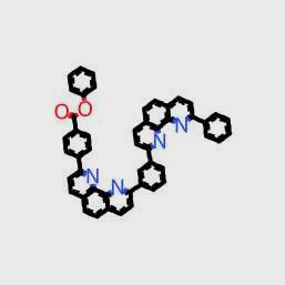 O=C(Oc1ccccc1)c1ccc(-c2ccc3ccc4ccc(-c5cccc(-c6ccc7ccc8ccc(-c9ccccc9)nc8c7n6)c5)nc4c3n2)cc1